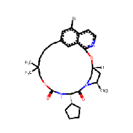 CCc1cc2cc3c(nccc13)O[C@@H]1C[C@@H](C=O)N(C1)C(=O)[C@H](C1CCCC1)NC(=O)OCC(C)(C)CCC2